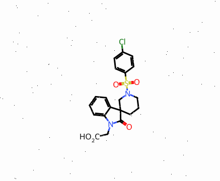 O=C(O)CN1C(=O)C2(CCCN(S(=O)(=O)c3ccc(Cl)cc3)C2)c2ccccc21